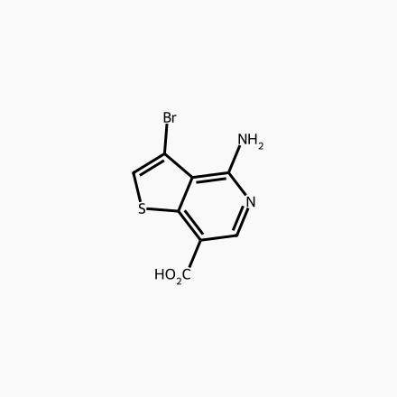 Nc1ncc(C(=O)O)c2scc(Br)c12